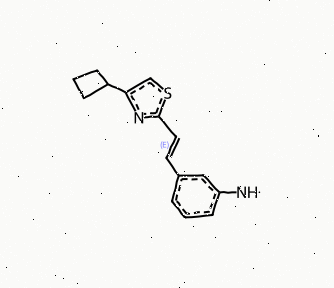 [NH]c1cccc(/C=C/c2nc(C3CCC3)cs2)c1